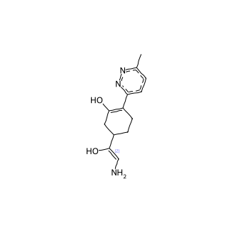 Cc1ccc(C2=C(O)CC(/C(O)=C/N)CC2)nn1